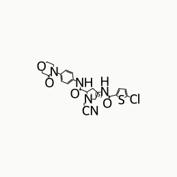 N#CCN1C[C@@H](NC(=O)c2ccc(Cl)s2)CC1C(=O)Nc1ccc(N2CCOCC2=O)cc1